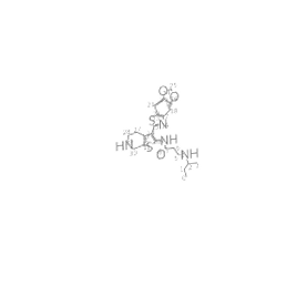 CCC(C)NCCC(=O)Nc1sc2c(c1-c1nc3cc4c(cc3s1)OCO4)CCNC2